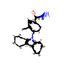 Cc1cc(C(N)=O)ccc1-n1c2c(c3ccccc31)CCCC2